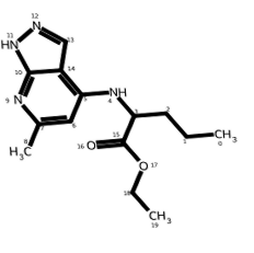 CCCC(Nc1cc(C)nc2[nH]ncc12)C(=O)OCC